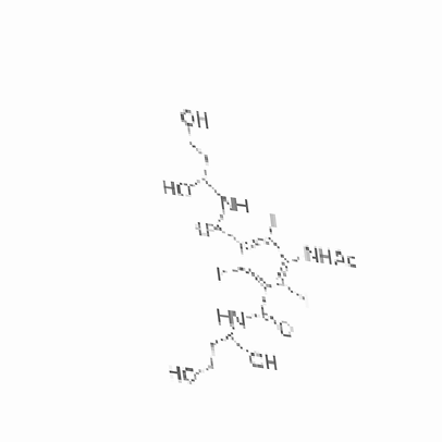 CC(=O)Nc1c(I)c(C(=O)NC(O)CCO)c(I)c(C(=O)NC(O)CCO)c1I